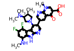 CNc1cc(F)c(F)c2c1[nH]c1ncc(-c3cnc4c(c3)c(=O)c(C(=O)O)cn4C)c(N3CC(N(C)C)[C@@H](C)C3)c12